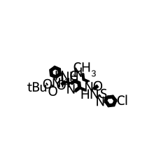 CN(C)CCCN(Cc1ccc(C(=O)Nc2ccccc2NC(=O)OC(C)(C)C)nc1)C(=O)Nc1nc2ccc(Cl)cc2s1